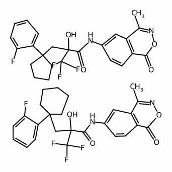 Cc1noc(=O)c2ccc(NC(=O)C(O)(CC3(c4ccccc4F)CCCC3)C(F)(F)F)cc12.Cc1noc(=O)c2ccc(NC(=O)C(O)(CC3(c4ccccc4F)CCCCC3)C(F)(F)F)cc12